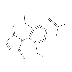 C=C(C)C.CCc1cccc(CC)c1N1C(=O)C=CC1=O